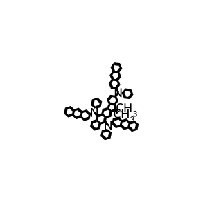 CC1(C)C2=C(C=CC(N(c3ccccc3)c3ccc4cc5ccccc5cc4c3)C2)c2cc3c(N(c4ccccc4)c4ccc5cc6ccccc6cc5c4)c4ccccc4c(N(c4ccccc4)c4ccc5cc6ccccc6cc5c4)c3cc21